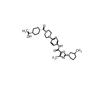 C=C(O)[C@H]1CC[C@H](C(=O)N2CCN(c3ccc(NC(=O)c4oc(N5CCCC(C)C5)nc4C(F)(F)F)cn3)CC2)CC1